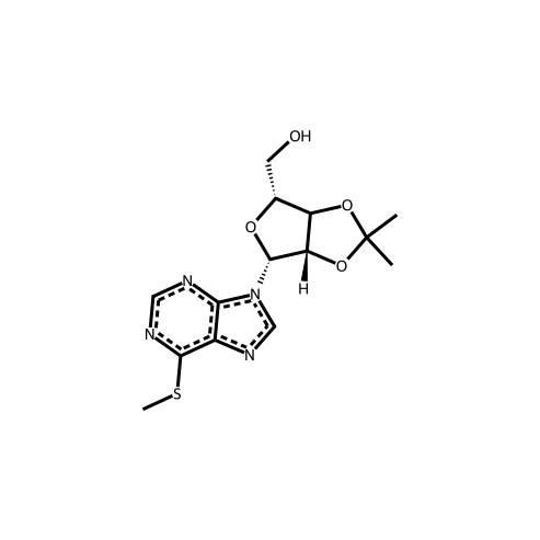 CSc1ncnc2c1ncn2[C@@H]1O[C@H](CO)C2OC(C)(C)O[C@@H]21